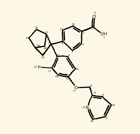 O=C(O)c1ccc(C2(c3ccc(OCc4ccccn4)cc3F)CC3CCC2C3)cc1